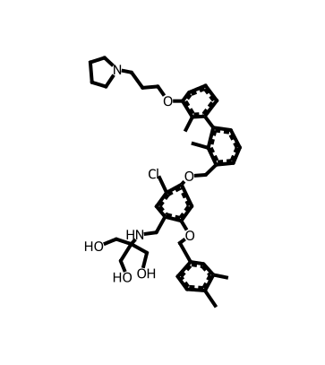 Cc1ccc(COc2cc(OCc3cccc(-c4cccc(OCCCN5CCCC5)c4C)c3C)c(Cl)cc2CNC(CO)(CO)CO)cc1C